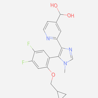 Cn1cnc(-c2cc(C(O)O)ccn2)c1-c1cc(F)c(F)cc1OCC1CC1